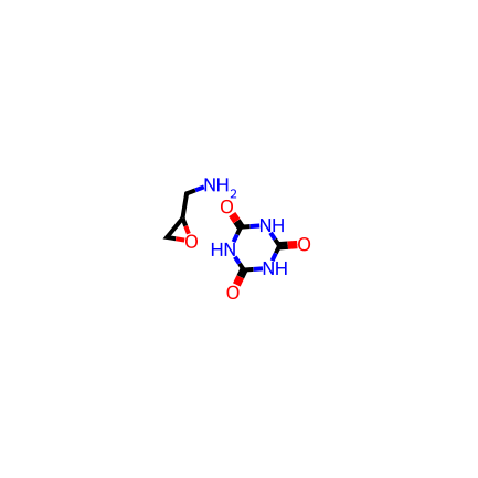 NCC1CO1.O=c1[nH]c(=O)[nH]c(=O)[nH]1